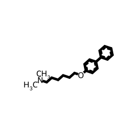 CN(C)CCCCCCOc1ccc(-c2ccccc2)cc1